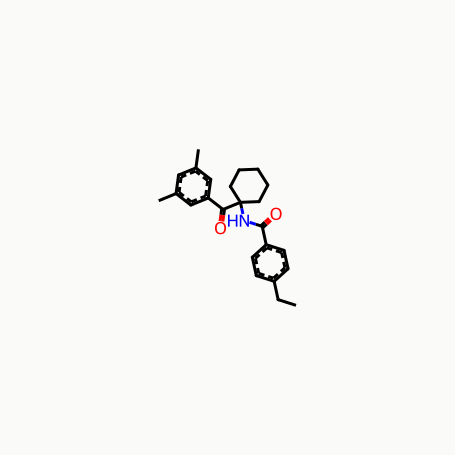 CCc1ccc(C(=O)NC2(C(=O)c3cc(C)cc(C)c3)CCCCC2)cc1